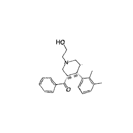 Cc1cccc([C@H]2[CH]CN(CCO)C[C@H]2C(=O)c2ccccc2)c1C